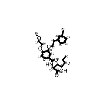 CC[C@H](C)CC[C@](C)(NC(=O)c1ccc(OCCOC)c(OCCc2cccc(C)c2)c1)C(=O)O